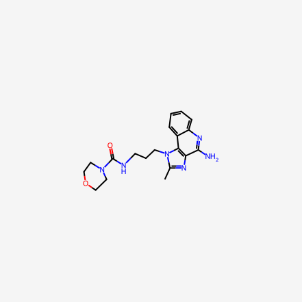 Cc1nc2c(N)nc3ccccc3c2n1CCCNC(=O)N1CCOCC1